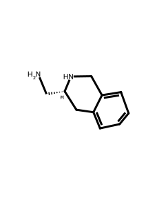 NC[C@H]1Cc2ccccc2CN1